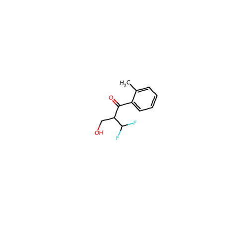 Cc1ccccc1C(=O)C(CO)C(F)F